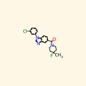 CC1(F)CCN(C(=O)c2ccc3c(c2)ncn3-c2cccc(Cl)c2)CC1